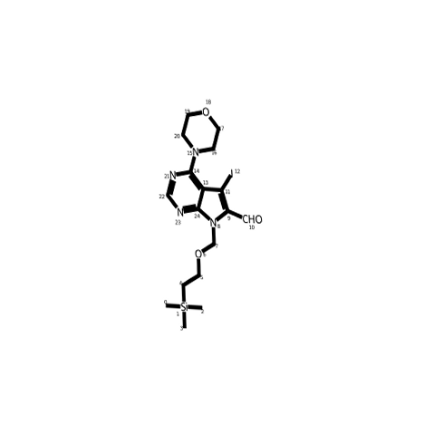 C[Si](C)(C)CCOCn1c(C=O)c(I)c2c(N3CCOCC3)ncnc21